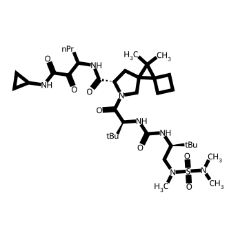 CCCC(NC(=O)[C@@H]1CC2(CN1C(=O)[C@@H](NC(=O)N[C@H](CN(C)S(=O)(=O)N(C)C)C(C)(C)C)C(C)(C)C)C(C)(C)C21CCC1)C(=O)C(=O)NC1CC1